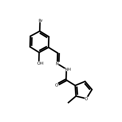 Cc1occc1C(=O)N/N=C/c1cc(Br)ccc1O